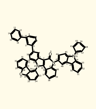 O=c1c2c3cc(-c4cccc(-c5ccccc5)c4)ccc3n(-c3cccc4oc5ccccc5c34)c2c2ccccc2n1-c1ccc2c(c1)c1ccccc1n2-c1ccccc1